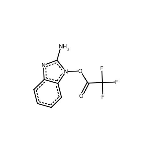 Nc1nc2ccccc2n1OC(=O)C(F)(F)F